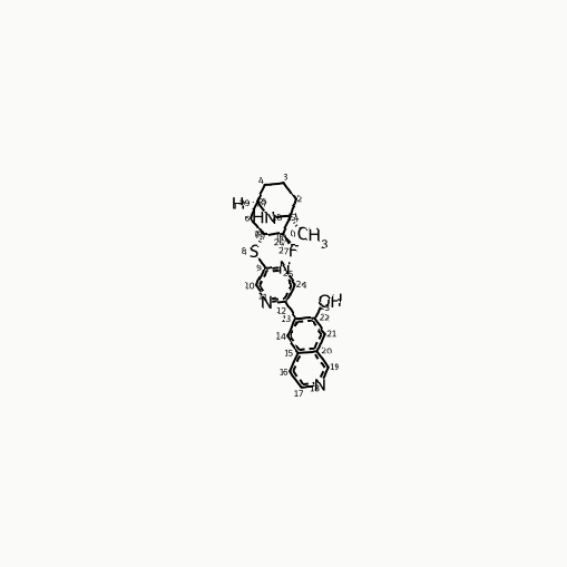 C[C@]12CCC[C@H](C[C@@H](Sc3cnc(-c4cc5ccncc5cc4O)cn3)[C@@H]1F)N2